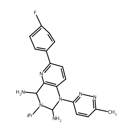 Cc1ccc(N2c3ccc(-c4ccc(F)cc4)nc3C(N)N(C(C)C)C2N)nn1